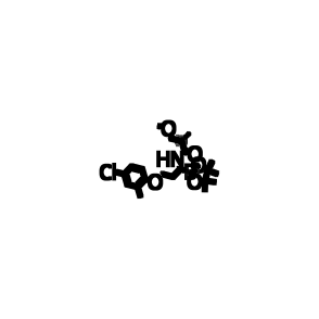 COC[C@@H](C)C(=O)NC(CCOc1ccc(Cl)cc1C)B1OC(C)(C)C(C)(C)O1